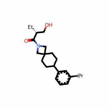 CC[C@H](CO)C(=O)N1CC2(CCC(c3cccc(C(C)C)c3)CC2)C1